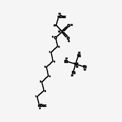 CCCCCCCCCCCCCCCCCCOS(=O)(=O)CCCCCCCCCCC.CC[N+](CC)(CC)CC